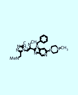 C=N/C(=C\n1c(C)nnc1CNC)c1nc2cnc(N3CCN(C)CC3)cc2n1Cc1ccccc1